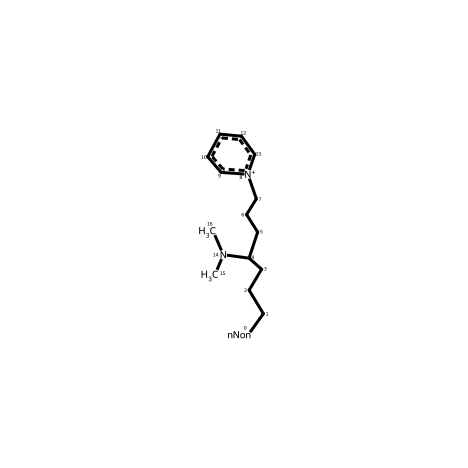 CCCCCCCCCCCCC(CCC[n+]1ccccc1)N(C)C